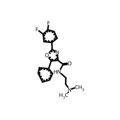 CN(C)CCNC(=O)c1nc(-c2ccc(F)c(F)c2)oc1-c1ccccc1